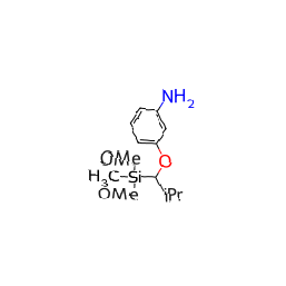 CO[Si](C)(OC)C(Oc1cccc(N)c1)C(C)C